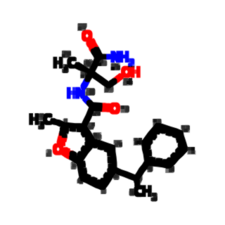 Cc1oc2ccc(C(C)c3ccccc3)cc2c1C(=O)N[C@@](C)(CO)C(N)=O